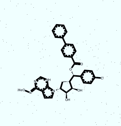 CO/N=c1\nc[nH]c2c1ccn2[C@@H]1C[C@H]([C@H](OC(=O)c2ccc(-c3ccccc3)cc2)c2ccc(Cl)cc2)[C@@H](O)[C@H]1O